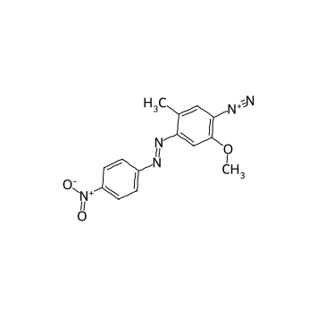 COc1cc(/N=N/c2ccc([N+](=O)[O-])cc2)c(C)cc1[N+]#N